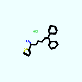 Cl.NC(CCCC=C(c1ccccc1)c1ccccc1)c1cccs1